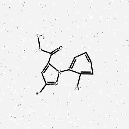 COC(=O)c1cc(Br)nn1-c1ccccc1Cl